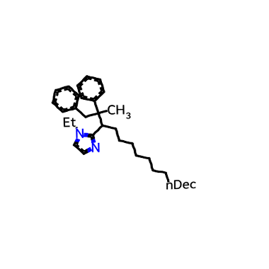 CCCCCCCCCCCCCCCCCC(c1nccn1CC)C(C)(Cc1ccccc1)c1ccccc1